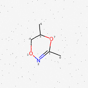 CC1=NOCC(C)O1